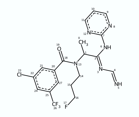 CC(/C(=N/C=N)Nc1ncccn1)N(CCCF)C(=O)c1cc(Cl)cc(C(F)(F)F)c1